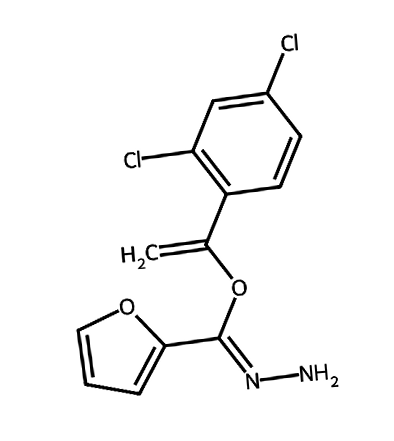 C=C(O/C(=N\N)c1ccco1)c1ccc(Cl)cc1Cl